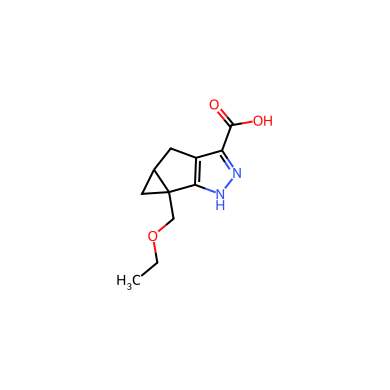 CCOCC12CC1Cc1c(C(=O)O)n[nH]c12